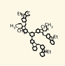 C=C/C=C\C1=C(C)c2ccc(-c3cc(-c4ccc5c(c4)/C(=C/c4ccc6c(c4)c4ccccc4n6CC)C(/C=C\C)=C5C=C)cc(-c4ccc5c(c4)/C(=C/c4ccc6c(c4)c4ccccc4n6CC)c4ccccc4-5)c3)cc2/C1=C/c1ccc2c(c1)c1ccccc1n2CC